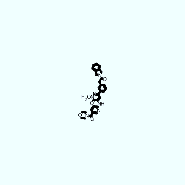 Cn1nc(-c2cccc(CC(=O)N3Cc4ccccc4C3)c2)cc(Nc2ccc(C(=O)N3CCOCC3)cn2)c1=O